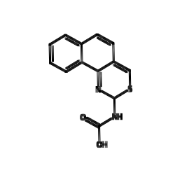 O=C(O)NC1N=c2c(ccc3ccccc23)=CS1